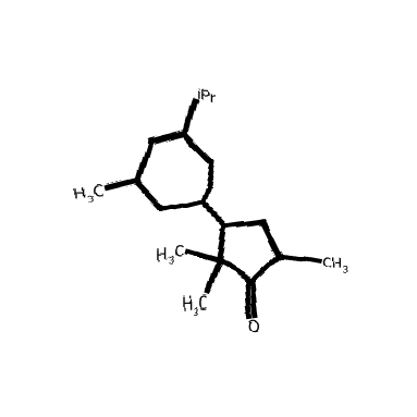 CC1CC(C(C)C)CC(C2CC(C)C(=O)C2(C)C)C1